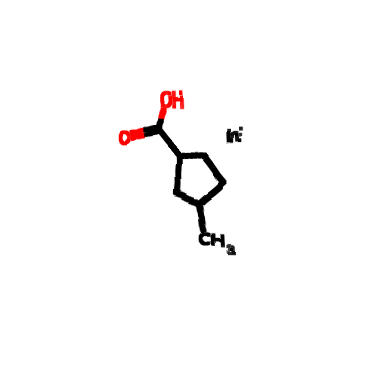 CC1CCC(C(=O)O)C1.[In]